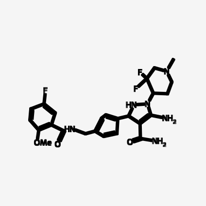 COc1ccc(F)cc1C(=O)NCc1ccc(C2NN(C3CCN(C)CC3(F)F)C(N)=C2C(N)=O)cc1